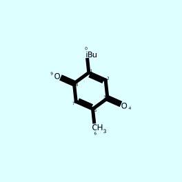 CCC(C)C1=CC(=O)C(C)=CC1=O